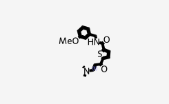 COc1cccc(CNC(=O)c2ccc(C(=O)/C=C/N(C)C)s2)c1